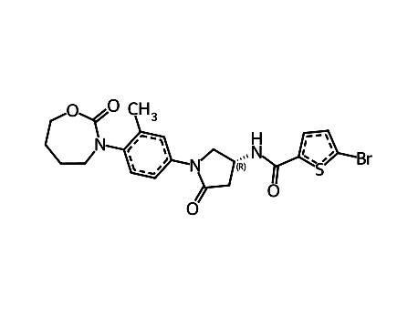 Cc1cc(N2C[C@H](NC(=O)c3ccc(Br)s3)CC2=O)ccc1N1CCCCOC1=O